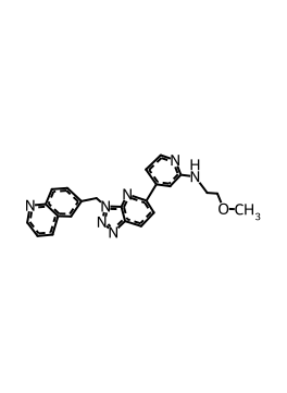 COCCNc1cc(-c2ccc3nnn(Cc4ccc5ncccc5c4)c3n2)ccn1